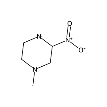 CN1CC[N]C([N+](=O)[O-])C1